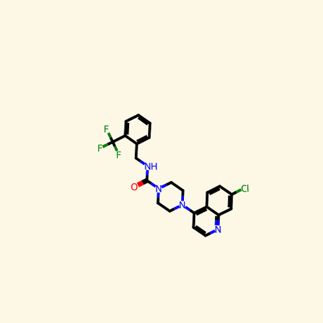 O=C(NCc1ccccc1C(F)(F)F)N1CCN(c2ccnc3cc(Cl)ccc23)CC1